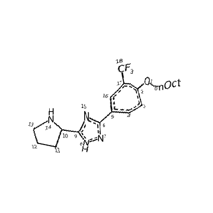 CCCCCCCCOc1ccc(-c2n[nH]c(C3CCCN3)n2)cc1C(F)(F)F